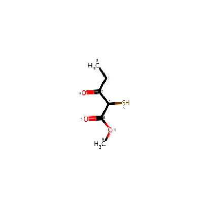 CCC(=O)C(S)C(=O)OC